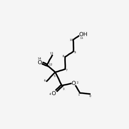 CCOC(=O)C(C)(CCCCO)C(C)=O